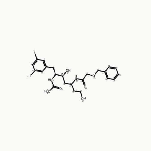 CC(=O)N[C@@H](Cc1cc(F)cc(F)c1)[C@@H](O)CC(CCO)NC(=O)COCc1ccccc1